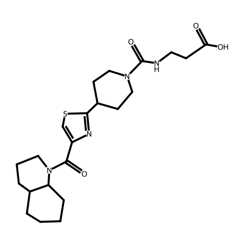 O=C(O)CCNC(=O)N1CCC(c2nc(C(=O)N3CCCC4CCCCC43)cs2)CC1